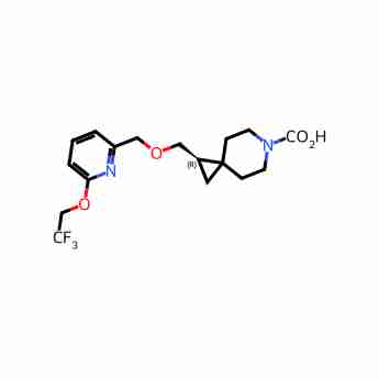 O=C(O)N1CCC2(CC1)C[C@H]2COCc1cccc(OCC(F)(F)F)n1